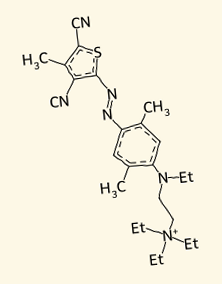 [C-]#[N+]c1c(/N=N/c2cc(C)c(N(CC)CC[N+](CC)(CC)CC)cc2C)sc(C#N)c1C